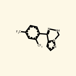 FC(F)(F)c1ccc(C2=NNCn3nccc32)c(C(F)(F)F)c1